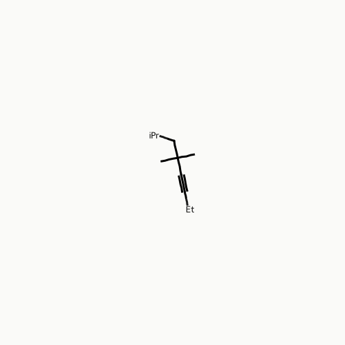 [CH2]C(C)CC(C)(C)C#CCC